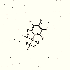 Fc1c(F)c(F)c([Si](Cl)(C(F)(F)F)C(F)(F)F)c(F)c1F